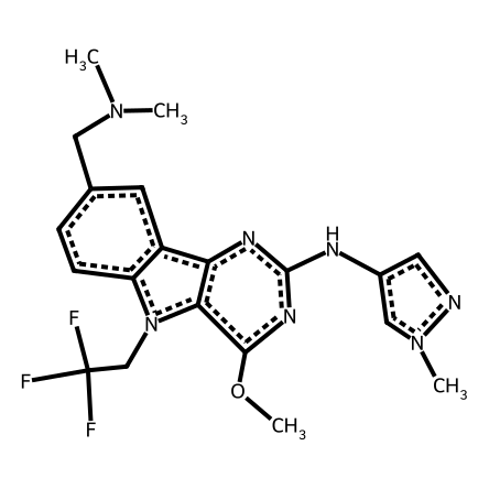 COc1nc(Nc2cnn(C)c2)nc2c3cc(CN(C)C)ccc3n(CC(F)(F)F)c12